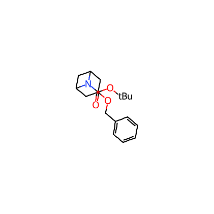 CC(C)(C)OC(=O)N1C2CC(OCc3ccccc3)CC1C2